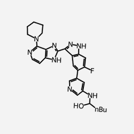 CCCCC(O)Nc1cncc(-c2cc3c(-c4nc5c(N6CCCCC6)nccc5[nH]4)n[nH]c3cc2F)c1